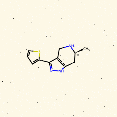 C[C@H]1Cc2[nH]nc(-c3cccs3)c2CN1